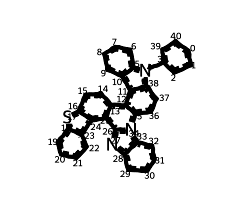 c1ccc(-n2c3ccccc3c3c4c5ccc6sc7ccccc7c6c5c5nc6ccccc6n5c4ccc32)cc1